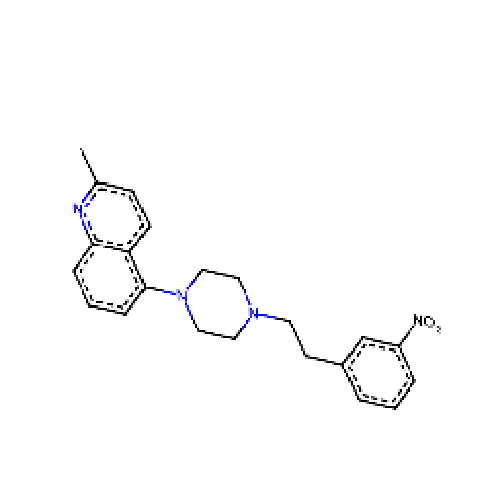 Cc1ccc2c(N3CCN(CCc4cccc([N+](=O)[O-])c4)CC3)cccc2n1